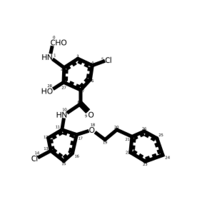 O=CNc1cc(Cl)cc(C(=O)Nc2cc(Cl)ccc2OCCc2ccccc2)c1O